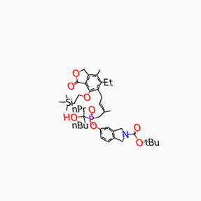 CCCCC(O)(CCC)P(=O)(C/C(C)=C/Cc1c(CC)c(C)c2c(c1OCC[Si](C)(C)C)C(=O)OC2)Oc1ccc2c(c1)CN(C(=O)OC(C)(C)C)C2